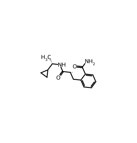 C[C@H](NC(=O)[CH]Cc1ccccc1C(N)=O)C1CC1